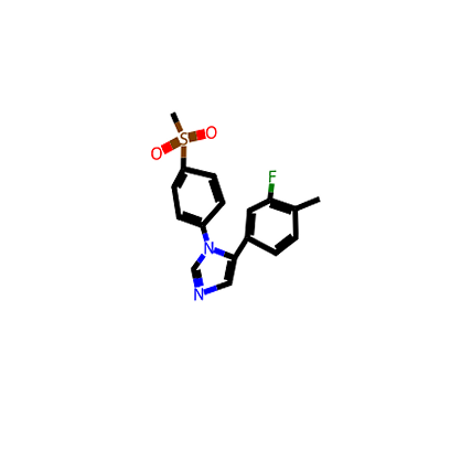 Cc1ccc(-c2cncn2-c2ccc(S(C)(=O)=O)cc2)cc1F